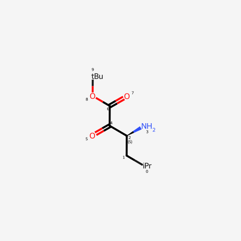 CC(C)C[C@H](N)C(=O)C(=O)OC(C)(C)C